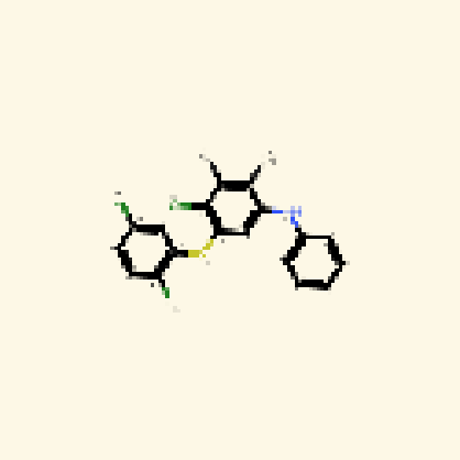 N#Cc1c(Nc2ccccc2)cc(Sc2cc(Cl)ccc2Cl)c(Cl)c1C#N